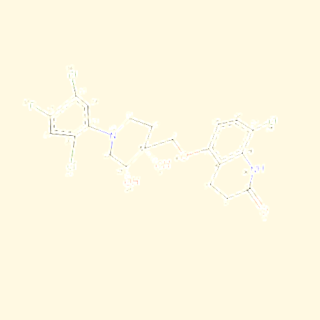 O=C1CCc2c(OC[C@]3(O)CCN(c4cc(Cl)c(F)cc4Cl)C[C@H]3O)ccc(Cl)c2N1